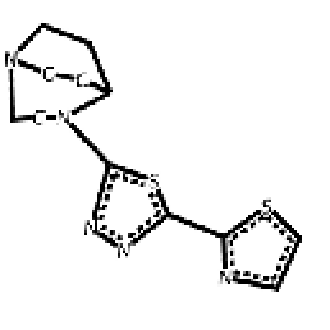 c1csc(-c2nnc(N3CCN4CCC3CC4)s2)n1